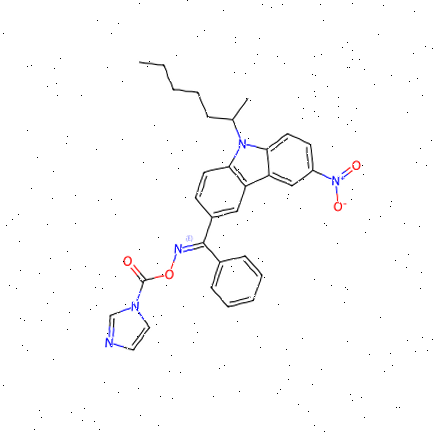 CCCCCC(C)n1c2ccc(/C(=N/OC(=O)n3ccnc3)c3ccccc3)cc2c2cc([N+](=O)[O-])ccc21